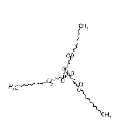 CCCCCCCCCCCCCOC(=O)CCSCCC(=O)N1CN(C(=O)CCSCCC(=O)OCCCCCCCCCCCCC)CN(C(=O)CCSCCC(=O)OCCCCCCCCCCCCC)C1